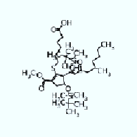 CCCC[C@@H](C)C[C@@H](C=C[C@@H]1C(SCCCCCC(=O)O)=C(C(=O)OC)C[C@H]1O[Si](C)(C)C(C)(C)C)O[Si](C)(C)C(C)(C)C